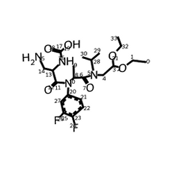 CCOC(CN(C(=O)C(C)N(C(=O)C(CN)NC(=O)O)c1ccc(F)c(F)c1)C(C)C)OCC